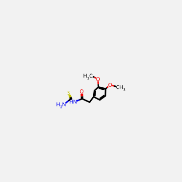 COc1ccc(CC(=O)NC(N)=S)cc1OC